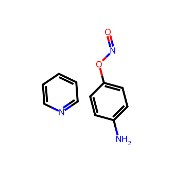 Nc1ccc(ON=O)cc1.c1ccncc1